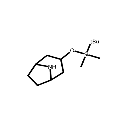 CC(C)(C)[Si](C)(C)OC1CC2CCC(C1)N2